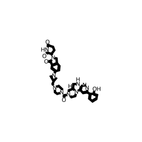 O=C1CCC(N2Cc3ccc(N4CC(CN5CCN(C(=O)N6CCN7c8cc(-c9ccccc9O)nnc8NC[C@H]7C6)CC5)C4)cc3C2=O)C(=O)N1